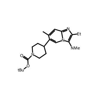 CCc1nc2cc(C)c(C3CCN(C(=O)OC(C)(C)C)CC3)cn2c1NC